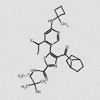 C[C@H](NC(=O)c1nc(C(=O)N2C3CCC2CC3)c(-c2cnc(NC3(C)CCC3)cc2C(F)F)s1)C(C)(C)O